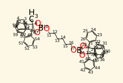 CC1(c2ccccc2)OB(OCCCCCCOB2OC(c3ccccc3)(c3ccccc3)C(c3ccccc3)(c3ccccc3)O2)OC1(c1ccccc1)c1ccccc1